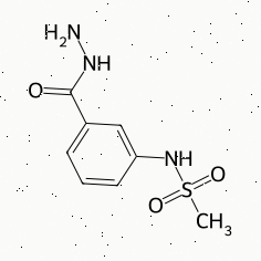 CS(=O)(=O)Nc1cccc(C(=O)NN)c1